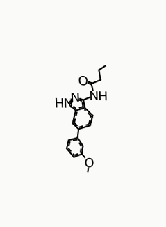 CCCC(=O)Nc1n[nH]c2cc(-c3cccc(OC)c3)ccc12